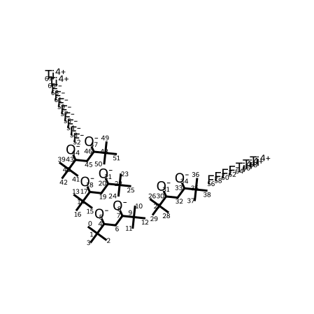 CC(C)(C)C([O-])CC([O-])C(C)(C)C.CC(C)(C)C([O-])CC([O-])C(C)(C)C.CC(C)(C)C([O-])CC([O-])C(C)(C)C.CC(C)(C)C([O-])CC([O-])C(C)(C)C.[F-].[F-].[F-].[F-].[F-].[F-].[F-].[F-].[F-].[F-].[F-].[F-].[Ti+4].[Ti+4].[Ti+4].[Ti+4].[Ti+4]